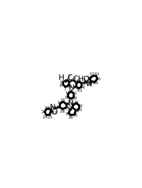 CC1(C)c2ccccc2N(c2ccc(N(c3ccc(-c4nc5ccccc5o4)cc3)c3cccc4ccccc34)cc2)c2ccc(-c3nc4ccccc4o3)cc21